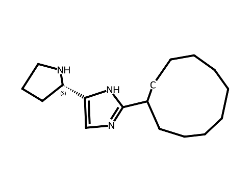 c1nc(C2CCCCCCCCC2)[nH]c1[C@@H]1CCCN1